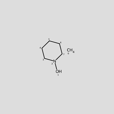 C.ON1CCCCC1